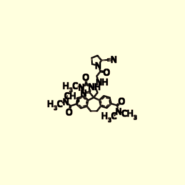 CN(C)C(=O)c1ccc2c(c1)CCc1cc(C(=O)N(C)C)ccc1C2(CCNCC(=O)N1CCCC1C#N)c1nn(C)c(=O)[nH]1